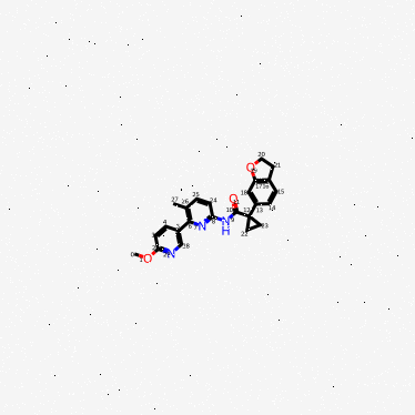 COc1ccc(-c2nc(NC(=O)C3(c4ccc5c(c4)OCC5)CC3)ccc2C)cn1